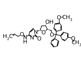 C=CCONc1ccn([C@H]2C[C@H](O)[C@@H](COC(c3ccccc3)(c3ccc(OC)cc3)c3ccc(OC)cc3)O2)c(=O)n1